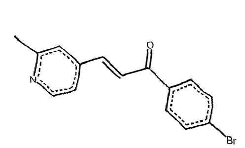 Cc1cc(C=CC(=O)c2ccc(Br)cc2)ccn1